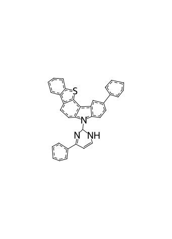 C1=CC(c2ccccc2)=NC(n2c3ccc(-c4ccccc4)cc3c3c4sc5ccccc5c4ccc32)N1